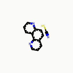 N#CS.c1cnc2c(c1)ccc1ncccc12